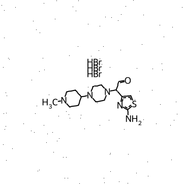 Br.Br.Br.CN1CCC(N2CCN(C(C=O)c3csc(N)n3)CC2)CC1